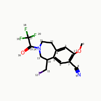 COc1cc2c(cc1C#N)C(CI)CN(C(=O)C(F)(F)F)CC2